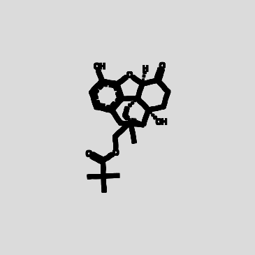 CC(C)(C)C(=O)OC[N+]1(C)CC[C@]23c4c5ccc(O)c4O[C@H]2C(=O)CC[C@@]3(O)C1C5